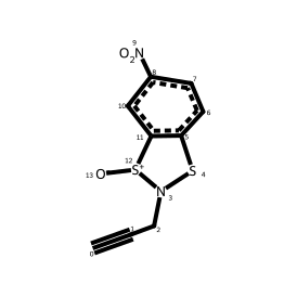 C#CCN1Sc2ccc([N+](=O)[O-])cc2[S+]1[O-]